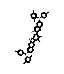 Cc1ccc(N(c2ccc3cc4c(cc3c2)oc2c3oc5cc6cc(N(c7ccc(C)cc7)c7cc(C)ccc7C)ccc6cc5c3c(C)c(C)c42)c2cc(C)ccc2C)cc1